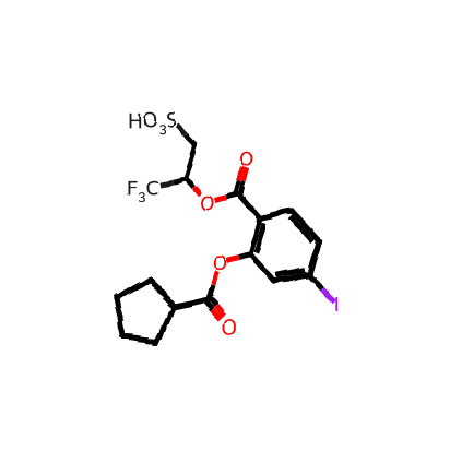 O=C(OC(CS(=O)(=O)O)C(F)(F)F)c1ccc(I)cc1OC(=O)C1CCCC1